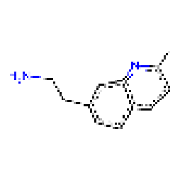 Cc1ccc2ccc(CCN)cc2n1